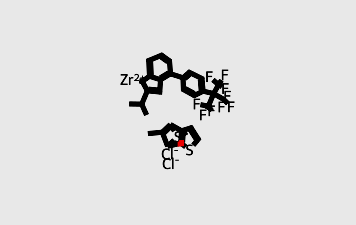 CC(C)C1=Cc2c(-c3ccc(C(C(F)(F)F)(C(F)(F)F)C(F)(F)F)cc3)cccc2[CH]1[Zr+2].CC1=C2c3ccsc3C1[Si]2(C)C.[Cl-].[Cl-]